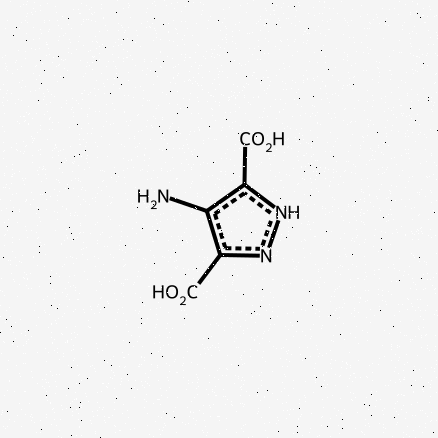 Nc1c(C(=O)O)n[nH]c1C(=O)O